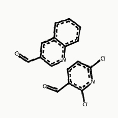 O=Cc1ccc(Cl)nc1Cl.O=Cc1cnc2ccccc2c1